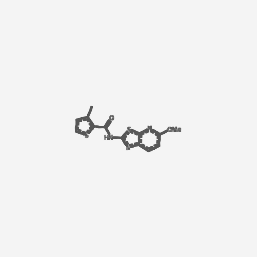 COc1ccc2nc(NC(=O)c3sccc3C)sc2n1